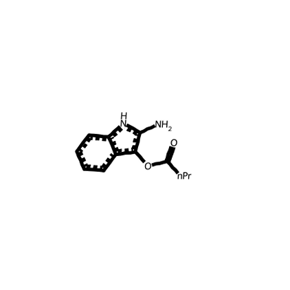 CCCC(=O)Oc1c(N)[nH]c2ccccc12